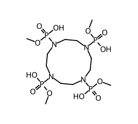 COP(=O)(O)N1CCN(P(=O)(O)OC)CCN(P(=O)(O)OC)CCN(P(=O)(O)OC)CC1